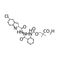 CC(C)(COC(=O)Nc1ccccc1C(=O)NNC(=O)C1C=c2cc(Cl)ccc2=N1)C(=O)O